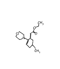 CCOC(=O)C=C1CC(CC)CC=C1N1CCOCC1